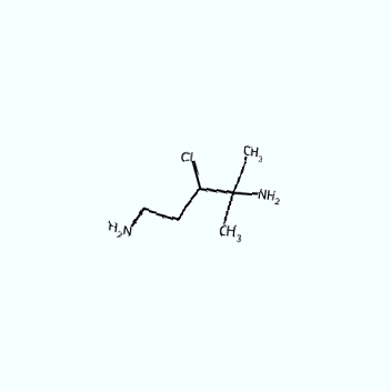 CC(C)(N)C(Cl)CCN